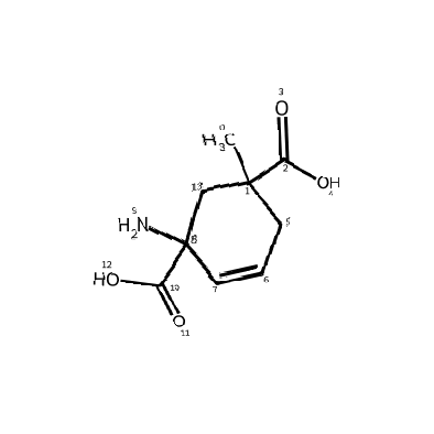 CC1(C(=O)O)CC=CC(N)(C(=O)O)C1